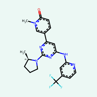 C[C@@H]1CCCN1c1nc(Nc2cc(C(F)(F)F)ccn2)cc(-c2ccc(=O)n(C)c2)n1